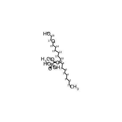 CCCCCCCCCCCCCCCCOCCO.COC(=O)P(=O)(O)O